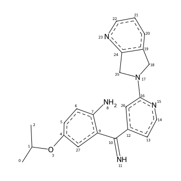 CC(C)Oc1ccc(N)c(C(=N)c2ccnc(N3Cc4cccnc4C3)c2)c1